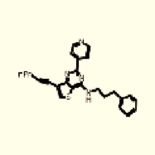 CCCC#Cc1csc2c(NCCCc3ccccc3)nc(-c3ccncc3)nc12